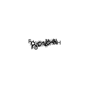 O=C(c1ccc(F)cc1F)N1CCC(Cn2ccc3cc(-c4cn[nH]c4)cnc32)CC1